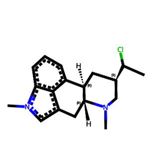 CC(Cl)[C@@H]1C[C@@H]2c3cccc4c3c(cn4C)C[C@H]2N(C)C1